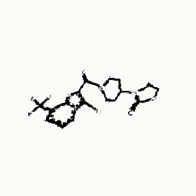 O=C(c1nc2c(C(F)(F)F)cccn2c1Cl)N1CCC(N2CCOC2=O)CC1